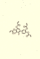 C=CC(=O)Oc1ccc(-c2cc(OC(=O)C=C)c(OC(=O)C=C)c(F)c2F)cc1OC(=O)C=C